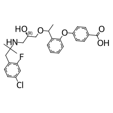 CC(OC[C@H](O)CNC(C)(C)Cc1ccc(Cl)cc1F)c1ccccc1Oc1ccc(C(=O)O)cc1